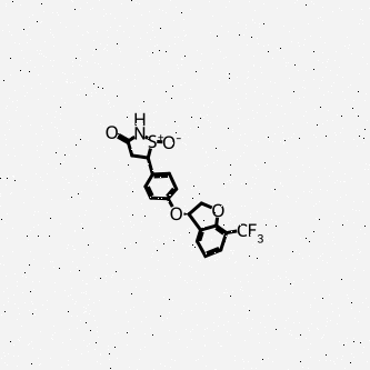 O=C1CC(c2ccc(O[C@@H]3COc4c3cccc4C(F)(F)F)cc2)[S+]([O-])N1